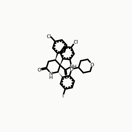 O=C1C[C@@H](c2cccc(Cl)c2)[C@]2(C(=O)Nc3cc(Cl)ccc32)[C@H](c2cc(I)ccc2OC2CCOCC2)N1